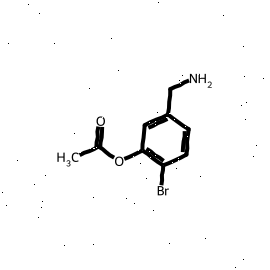 CC(=O)Oc1cc(CN)ccc1Br